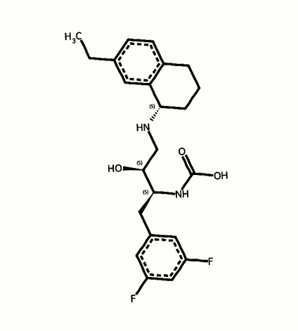 CCc1ccc2c(c1)[C@@H](NC[C@H](O)[C@H](Cc1cc(F)cc(F)c1)NC(=O)O)CCC2